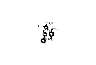 Cc1cc(C(=O)O)c(C)n1Cc1csc(-c2ccccc2)n1.NCc1ccc(C(N)=O)cc1